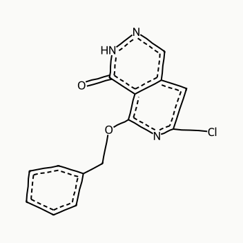 O=c1[nH]ncc2cc(Cl)nc(OCc3ccccc3)c12